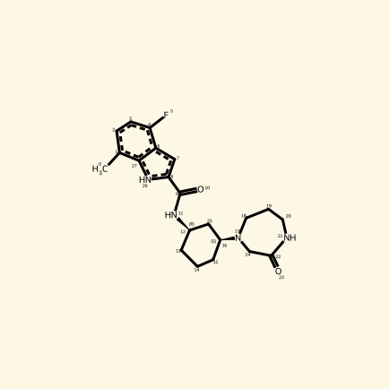 Cc1ccc(F)c2cc(C(=O)N[C@@H]3CCC[C@H](N4CCCNC(=O)C4)C3)[nH]c12